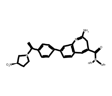 C=C(c1ccc(-c2ccc3c(c2)N=C(N)CC(C(=O)N(CCC)CCC)=C3)cc1)N1CC[C@@H]([N+](=O)[O-])C1